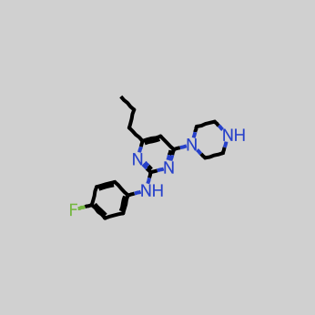 CCCc1cc(N2CCNCC2)nc(Nc2ccc(F)cc2)n1